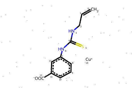 C=CCNC(=S)Nc1cccc(C(=O)[O-])c1.[Cu+]